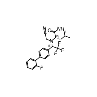 CC(C)C[C@@H](C(N)=O)N(CC#N)[C@@H](c1ccc(-c2ccccc2F)cc1)C(F)(F)F